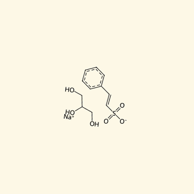 O=S(=O)([O-])C=Cc1ccccc1.OCC(O)CO.[Na+]